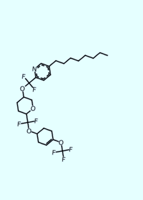 CCCCCCCCc1ccc(C(F)(F)OC2CCC(C(F)(F)OC3CC=C(OC(F)(F)F)CC3)OC2)nc1